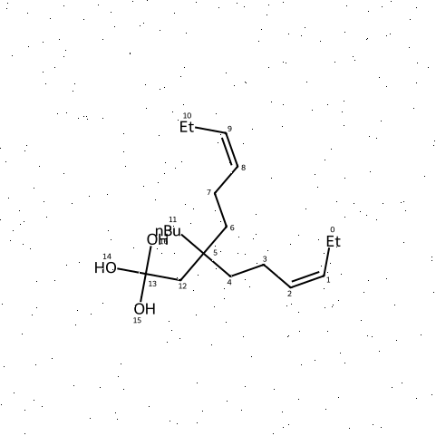 CC/C=C\CCC(CC/C=C\CC)(CCCC)CC(O)(O)O